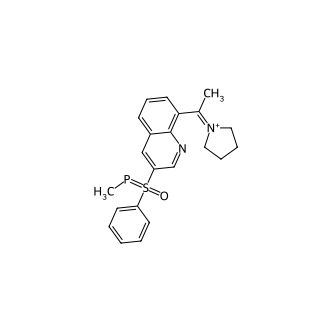 CP=S(=O)(c1ccccc1)c1cnc2c(C(C)=[N+]3CCCC3)cccc2c1